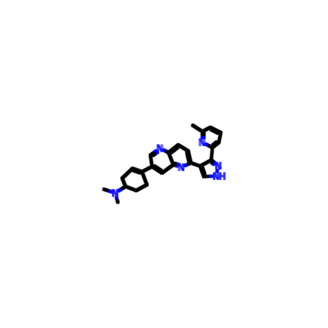 Cc1cccc(-c2n[nH]cc2-c2ccc3ncc(C4=CCC(N(C)C)CC4)cc3n2)n1